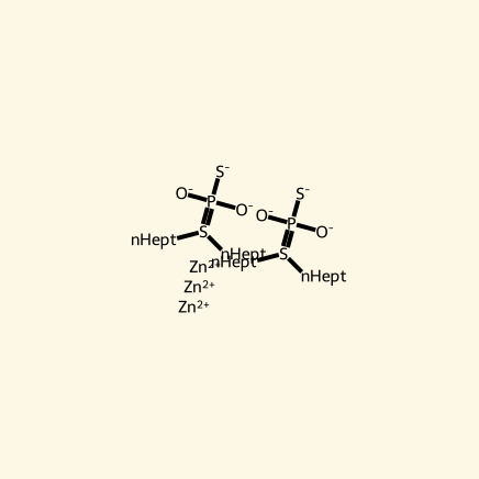 CCCCCCCS(CCCCCCC)=P([O-])([O-])[S-].CCCCCCCS(CCCCCCC)=P([O-])([O-])[S-].[Zn+2].[Zn+2].[Zn+2]